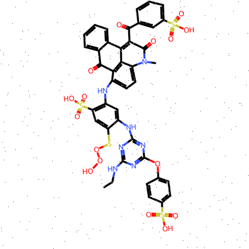 CCNc1nc(Nc2cc(Nc3ccc4c5c3C(=O)c3ccccc3-c5c(C(=O)c3cccc(S(=O)(=O)O)c3)c(=O)n4C)c(S(=O)(=O)O)cc2SOOO)nc(Oc2ccc(S(=O)(=O)O)cc2)n1